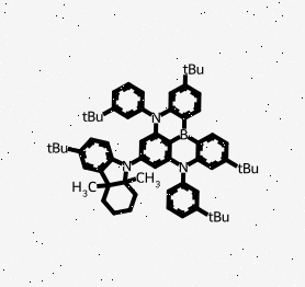 CC(C)(C)c1cccc(N2c3cc(C(C)(C)C)ccc3B3c4ccc(C(C)(C)C)cc4N(c4cccc(C(C)(C)C)c4)c4cc(N5c6ccc(C(C)(C)C)cc6C6(C)CCCCC56C)cc2c43)c1